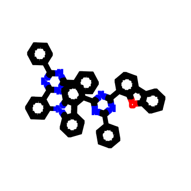 c1ccc(-c2nc(-c3ccccc3)nc(-c3ccccc3-n3c4ccccc4c4c(-c5nc(-c6ccccc6)nc(-c6cccc7c6oc6ccccc67)n5)cccc43)n2)cc1